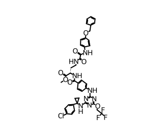 COC(=O)[C@H](CCNC(=O)C(=O)Nc1ccc(OCc2ccccc2)cc1)NC(=O)c1ccc(Nc2nc(NC3(c4ccc(Cl)cc4)CC3)nc(OCC(F)(F)F)n2)cc1